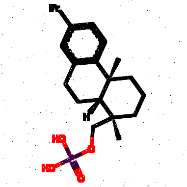 CC(C)c1ccc2c(c1)CC[C@H]1[C@](C)(COP(=O)(O)O)CCC[C@]21C